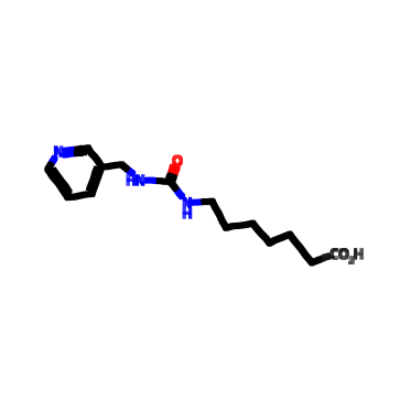 O=C(O)CCCCCCNC(=O)NCc1cccnc1